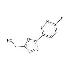 OCc1csc(-c2ccc(F)nc2)n1